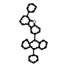 c1ccc(-c2c3ccccc3c(-c3ccc4oc5c(-c6ccccc6)cccc5c4c3)c3ccccc23)cc1